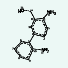 Nc1ccc(-c2ccccc2N)cc1CO